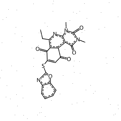 CCc1nc2c(c3c1C(=O)C(Sc1nc4ccccc4o1)=CC3=O)c(=O)n(C)c(=O)n2C